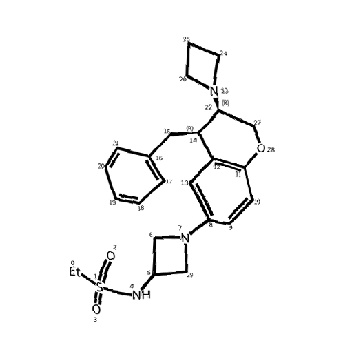 CCS(=O)(=O)NC1CN(c2ccc3c(c2)[C@@H](Cc2ccccc2)[C@@H](N2CCC2)CO3)C1